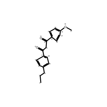 CCCc1ccc(C(=O)CC(=O)c2ccc(OC)cc2)cc1